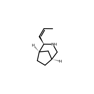 C/C=C\[C@H]1NC[C@H]2CC[C@@H]1C2